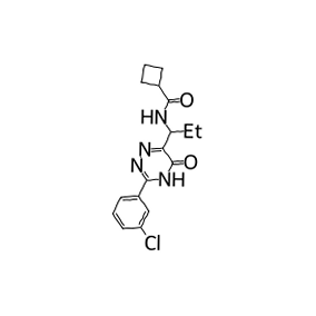 CCC(NC(=O)C1CCC1)c1nnc(-c2cccc(Cl)c2)[nH]c1=O